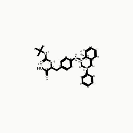 CC(C)(C)OC(=O)NC(Cc1ccc(NN2CN(c3ccccc3)C=C3C=CC=C[C@@H]32)cc1)C(=O)O